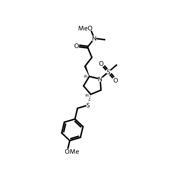 COc1ccc(CS[C@@H]2C[C@@H](CCC(=O)N(C)OC)N(S(C)(=O)=O)C2)cc1